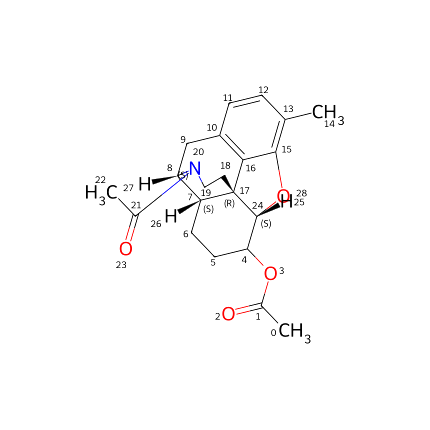 CC(=O)OC1CC[C@@H]2[C@@H]3Cc4ccc(C)c5c4[C@]2(CCN3C(C)=O)[C@@H]1O5